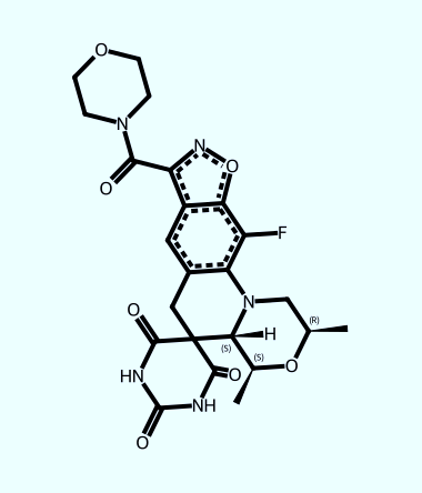 C[C@@H]1CN2c3c(cc4c(C(=O)N5CCOCC5)noc4c3F)CC3(C(=O)NC(=O)NC3=O)[C@H]2[C@H](C)O1